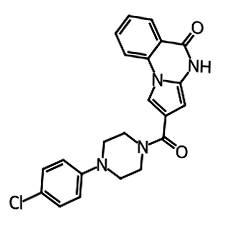 O=C(c1cc2[nH]c(=O)c3ccccc3n2c1)N1CCN(c2ccc(Cl)cc2)CC1